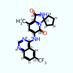 Cc1cc(Nc2ncnc3ccc(C(F)(F)F)cc23)c(=O)n2c1C(=O)NC21CCCC1